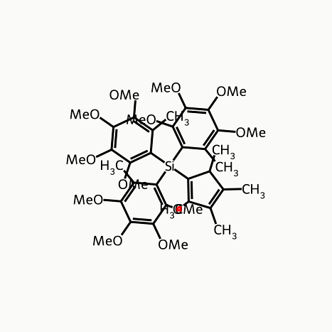 COc1c(C)c([Si](C2=C(C)C(C)=C(C)C2C)(c2c(C)c(OC)c(OC)c(OC)c2OC)c2c(C)c(OC)c(OC)c(OC)c2OC)c(OC)c(OC)c1OC